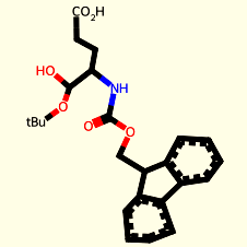 CC(C)(C)OC(O)C(CCC(=O)O)NC(=O)OCC1c2ccccc2-c2ccccc21